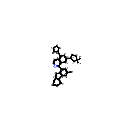 Cc1cc2c(c(-c3nccc4c(C5CCCC5)cc(C5CCC(C)(C)C5)cc34)c1)Cc1ccccc1-2